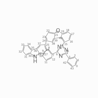 c1ccc(-c2nc(-c3ccccc3)nc(-c3cccc4oc5ccc(-c6ccc7[nH]c8ccccc8c7c6)cc5c34)n2)cc1